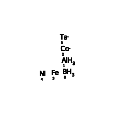 B.[AlH3].[Co].[Fe].[Ni].[Ta]